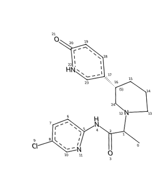 CC(C(=O)Nc1ccc(Cl)cn1)N1CCC[C@@H](c2ccc(=O)[nH]c2)C1